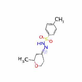 Cc1ccc(S(=O)(=O)N/N=C2/CCOC(C)C2)cc1